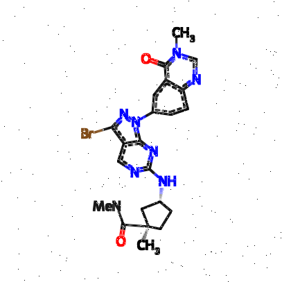 CNC(=O)[C@]1(C)CC[C@@H](Nc2ncc3c(Br)nn(-c4ccc5ncn(C)c(=O)c5c4)c3n2)C1